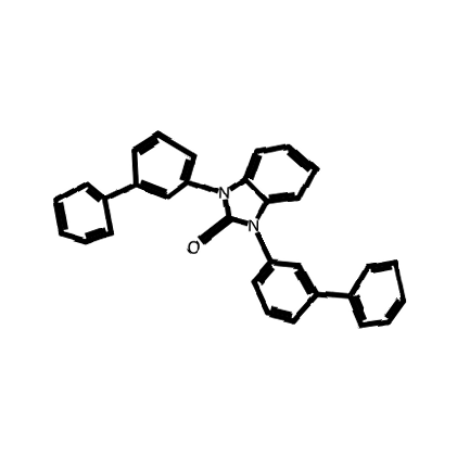 O=c1n(-c2cccc(-c3ccccc3)c2)c2ccccc2n1-c1cccc(-c2ccccc2)c1